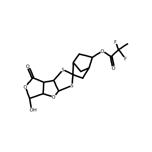 CC(F)(F)C(=O)OC1CC2CC1CC21SC2OC3C(O)OC(=O)C3C2S1